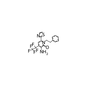 Nc1c(C(F)(F)C(F)(F)F)cc(-c2nccs2)n(CCc2ccccc2)c1=O